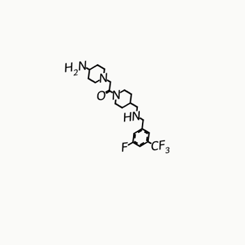 NC1CCN(CC(=O)N2CCC(CNCc3cc(F)cc(C(F)(F)F)c3)CC2)CC1